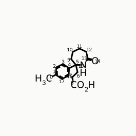 Cc1ccc(C2(CCC(=O)O)CCCCC(=O)N2)cc1